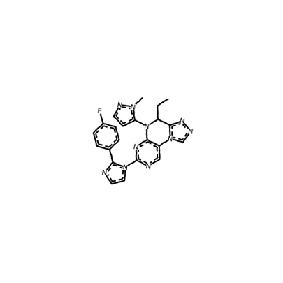 CCC1c2nncn2-c2cnc(-n3ccnc3-c3ccc(F)cc3)nc2N1c1ccnn1C